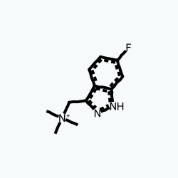 C[N+](C)(C)Cc1n[nH]c2cc(F)ccc12